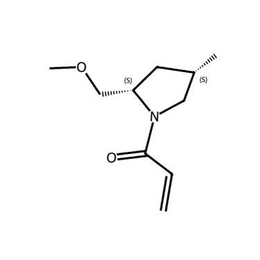 C=CC(=O)N1C[C@@H](C)C[C@H]1COC